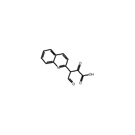 O=CC(C(=O)C(=O)O)c1ccc2ccccc2n1